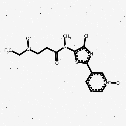 CN(C(=O)CC[S+]([O-])CC(F)(F)F)c1sc(-c2ccc[n+]([O-])c2)nc1Cl